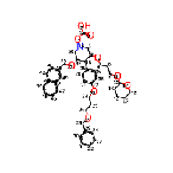 O=C(O)ON1CC(OCCCOC2CCCCO2)C(c2ccc(OCCCOCc3ccccc3)cc2)C(OCc2ccc3ccccc3c2)C1